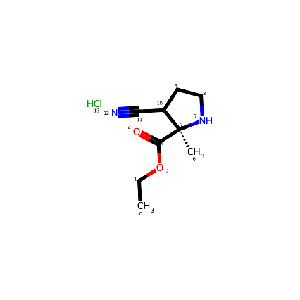 CCOC(=O)[C@]1(C)NCCC1C#N.Cl